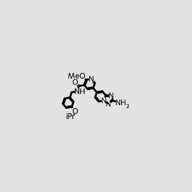 COc1ncc(-c2ccn3nc(N)nc3c2)cc1C(=O)NCc1cccc(OC(C)C)c1